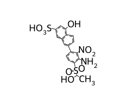 CC(O)S(=O)(=O)c1ccc(-c2ccc3c(O)cc(S(=O)(=O)O)cc3c2)c([N+](=O)[O-])c1N